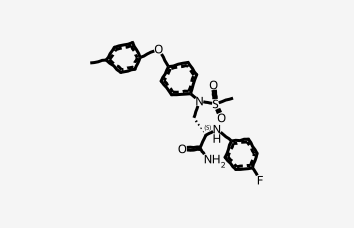 Cc1ccc(Oc2ccc(N(C[C@H](Nc3ccc(F)cc3)C(N)=O)S(C)(=O)=O)cc2)cc1